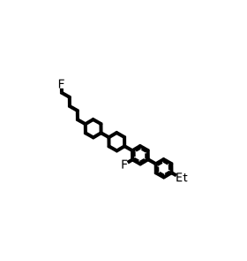 CCc1ccc(-c2ccc(C3CCC(C4CCC(CCCCCF)CC4)CC3)c(F)c2)cc1